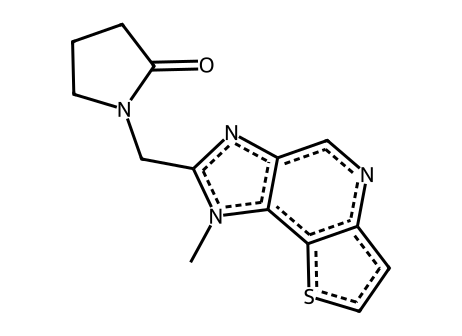 Cn1c(CN2CCCC2=O)nc2cnc3ccsc3c21